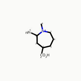 CCCC1CC(C(=O)O)CCCN1C